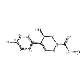 CC(C)(C)OC(=O)N1CC=C(c2ccc(F)cc2)[C@@H](O)C1